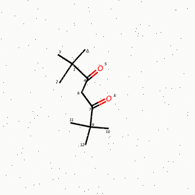 [CH2]C(C)(C)C(=O)CC(=O)C(C)(C)C